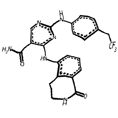 NC(=O)c1cnc(Nc2ccc(CC(F)(F)F)cc2)nc1Nc1cccc2c1CCNC2=O